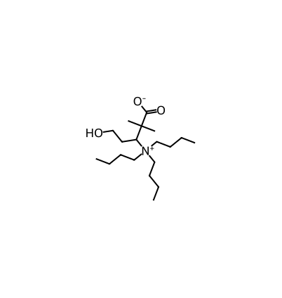 CCCC[N+](CCCC)(CCCC)C(CCO)C(C)(C)C(=O)[O-]